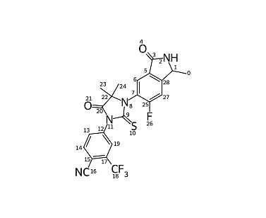 CC1NC(=O)c2cc(N3C(=S)N(c4ccc(C#N)c(C(F)(F)F)c4)C(=O)C3(C)C)c(F)cc21